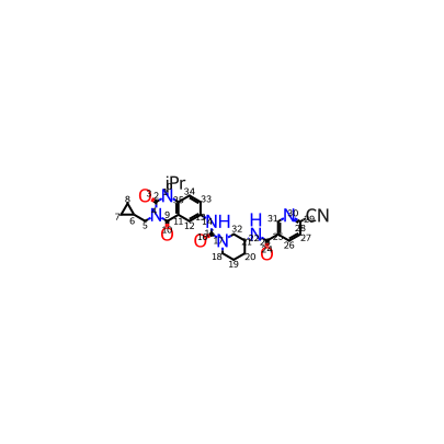 CC(C)n1c(=O)n(CC2CC2)c(=O)c2cc(NC(=O)N3CCC[C@@H](NC(=O)c4ccc(C#N)nc4)C3)ccc21